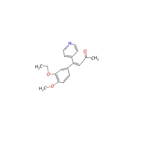 CCOc1cc(/C(=C/C(C)=O)c2ccncc2)ccc1OC